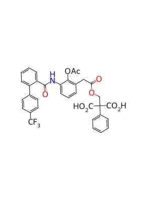 CC(=O)Oc1c(CC(=O)OCC(C(=O)O)(C(=O)O)c2ccccc2)cccc1NC(=O)c1ccccc1-c1ccc(C(F)(F)F)cc1